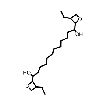 CCC1COC1C(O)CCCCCCCCCCC(O)C1OCC1CC